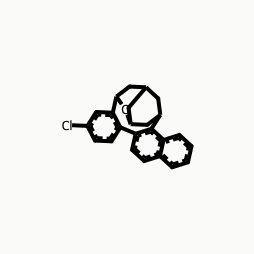 Clc1ccc2c(c1)C1CC3CC(C1)CC(C3)c1c-2ccc2ccccc12